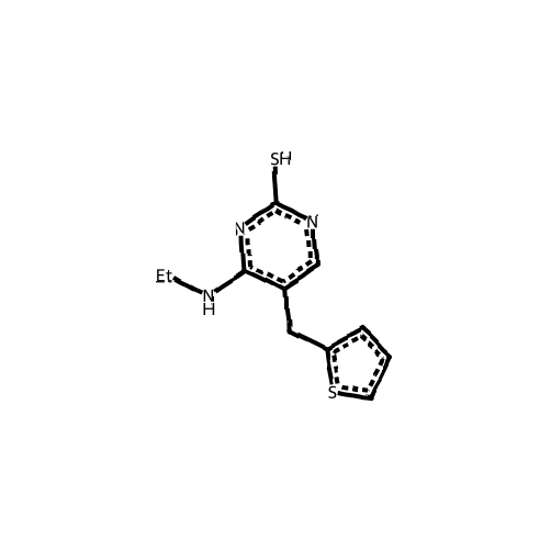 CCNc1nc(S)ncc1Cc1cccs1